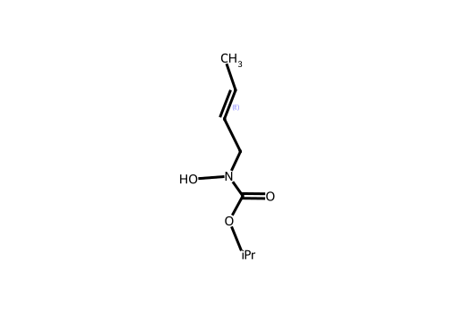 C/C=C/CN(O)C(=O)OC(C)C